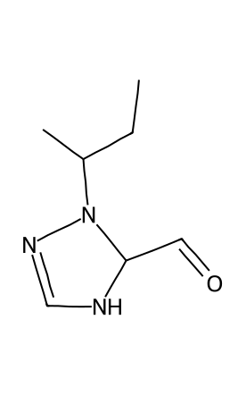 CCC(C)N1N=CNC1C=O